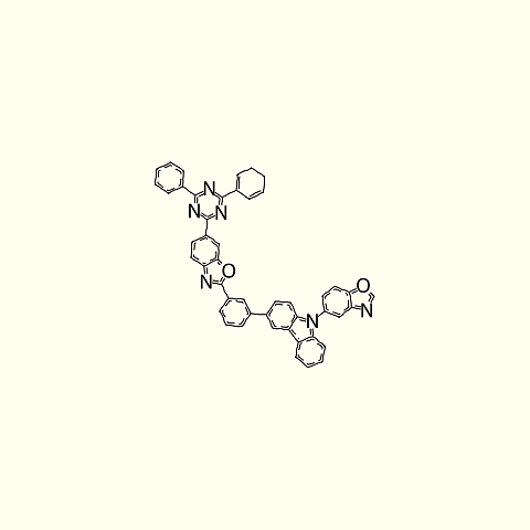 C1=CC(c2nc(-c3ccccc3)nc(-c3ccc4nc(-c5cccc(-c6ccc7c(c6)c6ccccc6n7-c6ccc7ocnc7c6)c5)oc4c3)n2)=CCC1